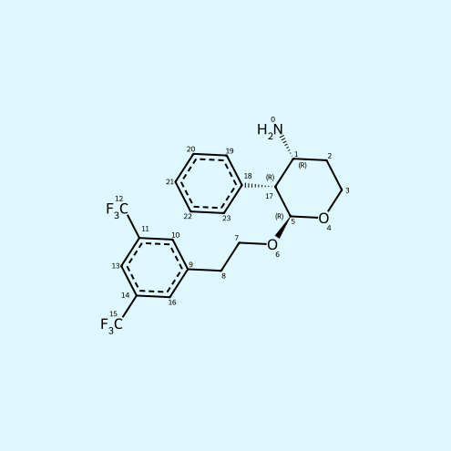 N[C@@H]1CCO[C@@H](OCCc2cc(C(F)(F)F)cc(C(F)(F)F)c2)[C@@H]1c1ccccc1